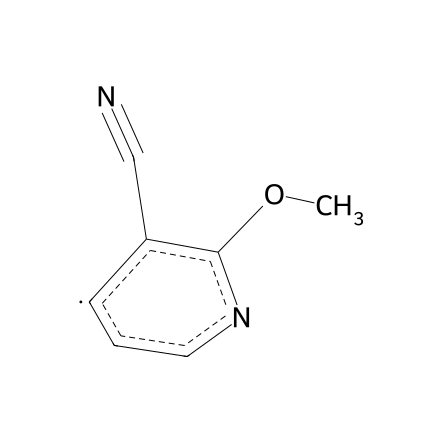 COc1ncc[c]c1C#N